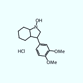 COc1ccc(C2CN(O)C3CCCCC23)cc1OC.Cl